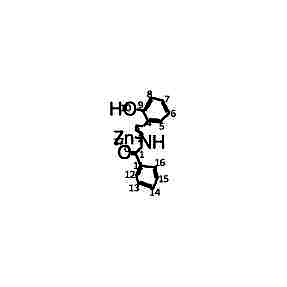 O=C(NSc1ccccc1O)c1ccccc1.[Zn]